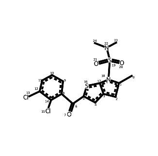 Cc1cc2cc(C(=O)c3cccc(Cl)c3Cl)sc2n1S(=O)(=O)N(C)C